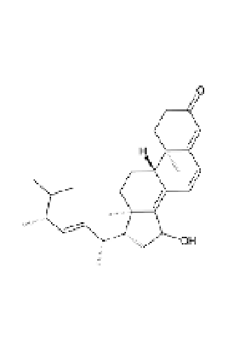 CC(C)[C@@H](C)C=C[C@@H](C)[C@H]1CC(O)C2=C3C=CC4=CC(=O)CC[C@]4(C)[C@H]3CC[C@@]21C